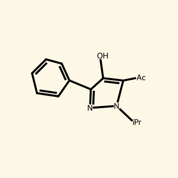 CC(=O)c1c(O)c(-c2ccccc2)nn1C(C)C